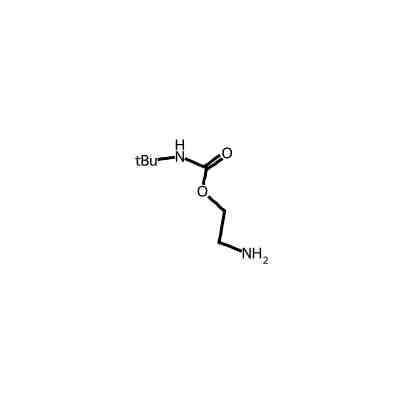 CC(C)(C)NC(=O)OCCN